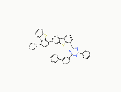 c1ccc(-c2cccc(-c3nc(-c4ccccc4)nc(-c4cccc5c4sc4cc(-c6ccc(-c7ccccc7)c7c6sc6ccccc67)ccc45)n3)c2)cc1